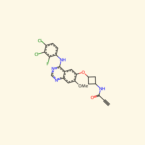 C#CC(=O)NC1CC(Oc2cc3c(Nc4ccc(Cl)c(Cl)c4F)ncnc3cc2OC)C1